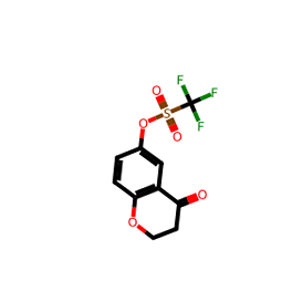 O=C1CCOc2ccc(OS(=O)(=O)C(F)(F)F)cc21